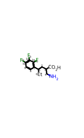 CCC(CC(CN)C(=O)O)c1ccc(F)c(F)c1F